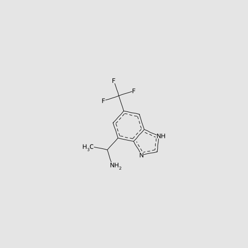 CC(N)c1cc(C(F)(F)F)cc2[nH]cnc12